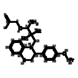 C=C(C)COC(N)C(CC)(CC)CN1c2ccccc2SCC1c1ccc(OCCC)cc1